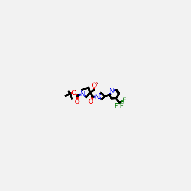 COCC1(C(=O)N2CC(c3cc(C(F)(F)F)ccn3)C2)CCN(C(=O)OC(C)(C)C)C1